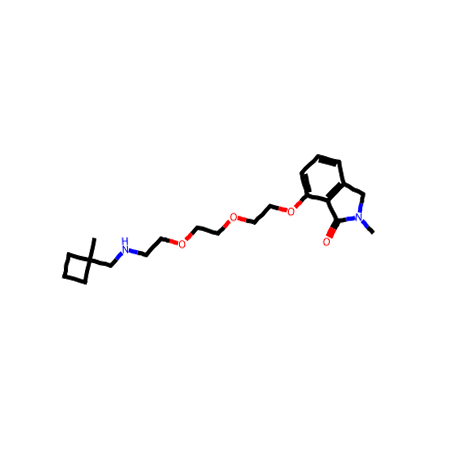 CN1Cc2cccc(OCCOCCOCCNCC3(C)CCC3)c2C1=O